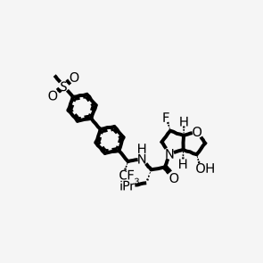 CC(C)C[C@H](N[C@@H](c1ccc(-c2ccc(S(C)(=O)=O)cc2)cc1)C(F)(F)F)C(=O)N1C[C@H](F)[C@H]2OC[C@H](O)[C@H]21